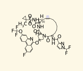 CC1(S(=O)(=O)NC(=O)[C@@]23C[C@H]2/C=C\CCCCC[C@H](NC(=O)c2ccn(C(F)F)n2)C(=O)N2C[C@H](Oc4nc5cc(OC(F)(F)F)ccc5c5cc(F)ccc45)C[C@H]2C(=O)N3)CC1